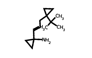 CC(C)(C)C1(CC=CC2(N)CC2)CC1